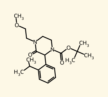 COCCN1CCN(C(=O)OC(C)(C)C)C(c2ccccc2C(C)C)C1=O